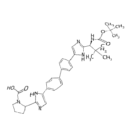 CC(C)(C)OC(=O)N[C@H](c1ncc(-c2ccc(-c3ccc(-c4cnc(C5CCCN5C(=O)O)[nH]4)cc3)cc2)[nH]1)C(C)(C)C